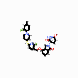 Cc1ccc(N2CCC(Sc3ccc(COc4cccc5c4CN([C@H]4CCC(=O)NC4=O)C5=O)c(F)n3)CC2)c(F)c1